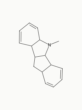 CN1C2C=CC=CC2C2CC3C=CC=CC3C21